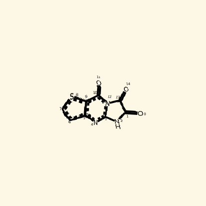 O=C1Nc2nc3ccsc3c(=O)n2C1=O